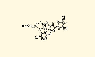 CC(=O)NCC1CCN(Cc2cc(Oc3ccc(Cl)nn3)nc(-c3cc(Cl)cc(Cl)c3)c2)CC1